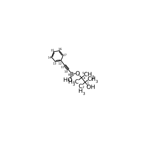 CC(C)(O)C(C)(C)OB(O)C#Cc1ccccc1